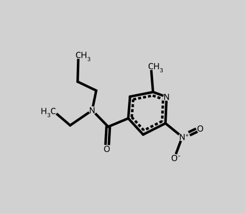 CCCN(CC)C(=O)c1cc(C)nc([N+](=O)[O-])c1